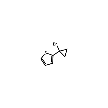 BrC1(c2cccs2)CC1